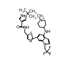 CN1CCC(Nc2cc(-c3ncc(CNC(=O)c4cnn(C(C)(C)C)c4)s3)cc3c2ccn3CC(F)(F)F)CC1